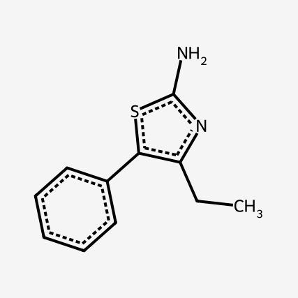 CCc1nc(N)sc1-c1ccccc1